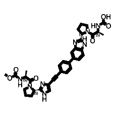 COC(=O)N[C@@H](C)C(=O)N1CCC[C@H]1c1nc(C#Cc2ccc(-c3ccc4[nH]c([C@@H]5CCCN5C(=O)[C@H](C)NC(=O)O)nc4c3)cc2)c[nH]1